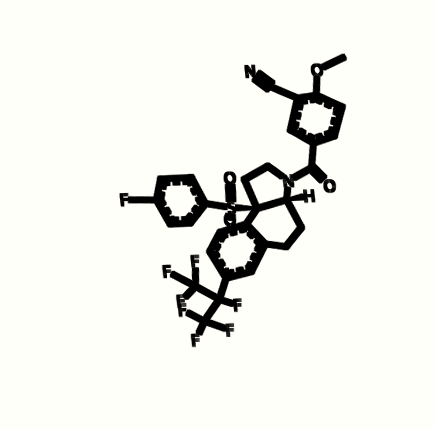 COc1ccc(C(=O)N2CC[C@@]3(S(=O)(=O)c4ccc(F)cc4)c4ccc(C(F)(C(F)(F)F)C(F)(F)F)cc4CC[C@@H]23)cc1C#N